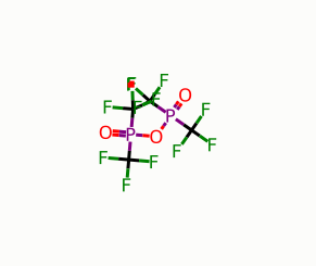 O=P(OP(=O)(C(F)(F)F)C(F)(F)F)(C(F)(F)F)C(F)(F)F